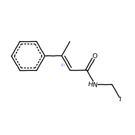 C/C(=C\C(=O)NCI)c1ccccc1